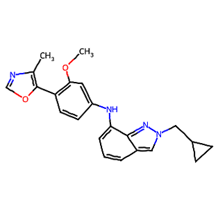 COc1cc(Nc2cccc3cn(CC4CC4)nc23)ccc1-c1ocnc1C